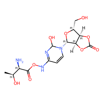 C[C@H](O)[C@@H](N)C(=O)ONC1=NC(O)N([C@@H]2O[C@H](CO)[C@H]3OC(=O)O[C@H]32)C=C1